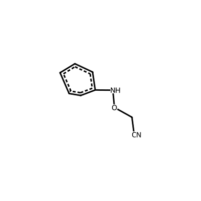 N#CCONc1ccccc1